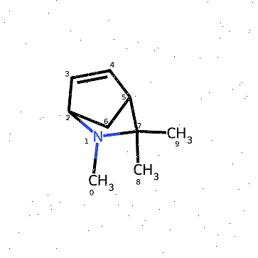 CN1C2C=CC(C2)C1(C)C